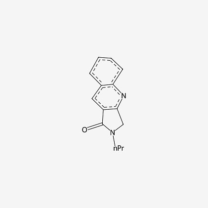 CCCN1Cc2nc3ccccc3cc2C1=O